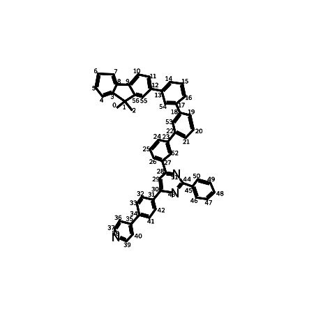 CC1(C)c2ccccc2-c2ccc(-c3cccc(-c4cccc(-c5cccc(-c6cc(-c7ccc(-c8ccncc8)cc7)nc(-c7ccccc7)n6)c5)c4)c3)cc21